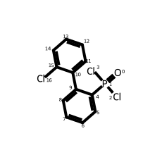 O=P(Cl)(Cl)c1ccccc1-c1ccccc1Cl